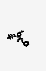 CS[C@H]1C[C@@H](CO[Si](C)(C)C(C)(C)C)N(C(=O)OCc2ccccc2)C1